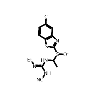 CC/N=C(/NC#N)NC(C)[S+]([O-])c1nc2cc(Cl)ccc2s1